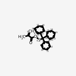 C=C(C)C(=O)OSC(c1ccccc1)(c1ccccc1)c1ccccc1